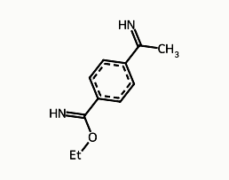 CCOC(=N)c1ccc(C(C)=N)cc1